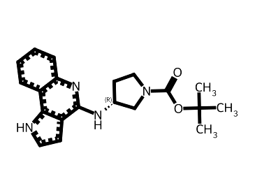 CC(C)(C)OC(=O)N1CC[C@@H](Nc2nc3ccccc3c3[nH]ccc23)C1